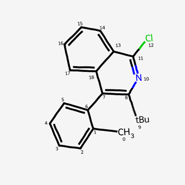 Cc1ccccc1-c1c(C(C)(C)C)nc(Cl)c2ccccc12